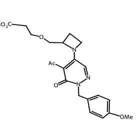 COc1ccc(Cn2ncc(N3CCC3COCCC(=O)O)c(C(C)=O)c2=O)cc1